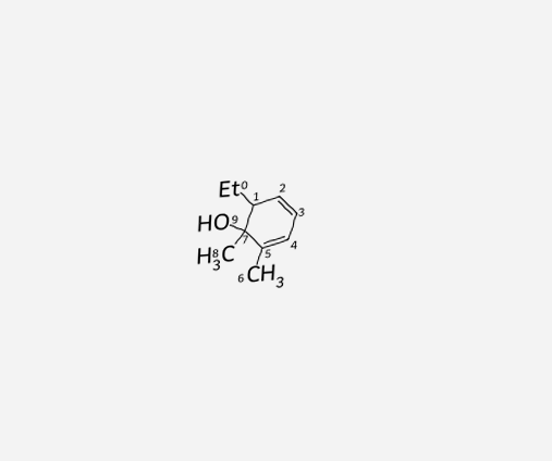 CCC1C=CC=C(C)C1(C)O